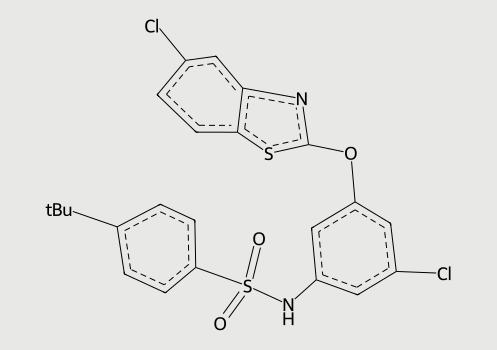 CC(C)(C)c1ccc(S(=O)(=O)Nc2cc(Cl)cc(Oc3nc4cc(Cl)ccc4s3)c2)cc1